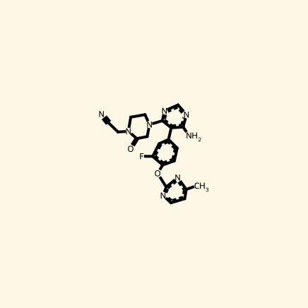 Cc1ccnc(Oc2ccc(-c3c(N)ncnc3N3CCN(CC#N)C(=O)C3)cc2F)n1